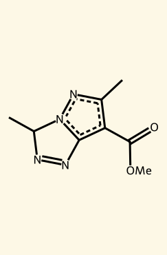 COC(=O)c1c(C)nn2c1N=NC2C